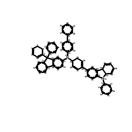 C1=CCCC(C2(c3ccccc3)c3ccccc3-c3ccc(N(c4ccc(-c5ccccc5)cc4)C4C=CC(c5ccc6c(c5)C5C=CC=CC5N6c5ccccc5)=CC4)cc32)=C1